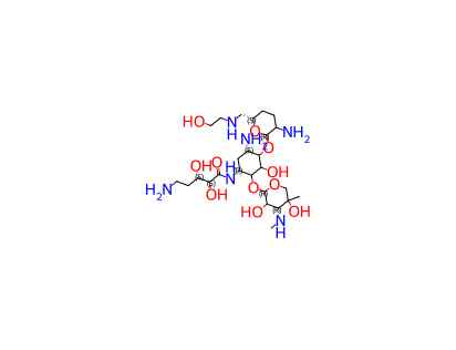 CN[C@@H]1C(O)[C@@H](OC2C(O)C(O[C@H]3O[C@H](CNCCO)CCC3N)[C@@H](N)C[C@H]2NC(=O)[C@@H](O)[C@@H](O)CCN)OCC1(C)O